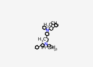 C/C=C\C(=C(/C)C(C)C)N(C/C=C\C(C)c1ccc(N(C2=CC=C3c4ccccc4C(C)(C)C3C2)c2ccccc2)cc1)c1ccc(-c2ccccc2)cc1